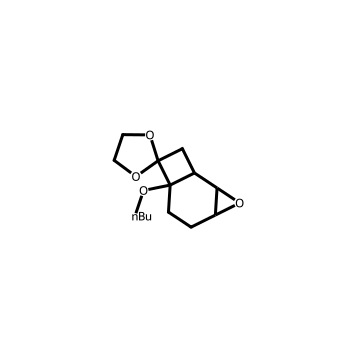 CCCCOC12CCC3OC3C1CC21OCCO1